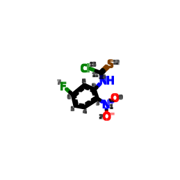 O=[N+]([O-])c1ccc(F)cc1NC(=S)Cl